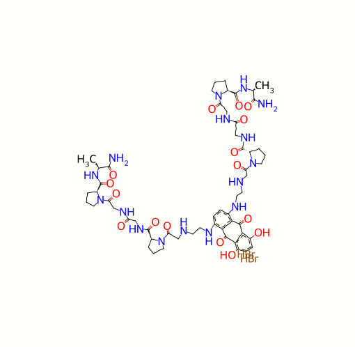 Br.Br.C[C@H](NC(=O)[C@@H]1CCCN1C(=O)CNC(=O)CNC(=O)[C@@H]1CCCN1C(=O)CNCCNc1ccc(NCCNCC(=O)N2CCC[C@H]2C(=O)NCC(=O)NCC(=O)N2CCC[C@H]2C(=O)N[C@@H](C)C(N)=O)c2c1C(=O)c1c(O)ccc(O)c1C2=O)C(N)=O